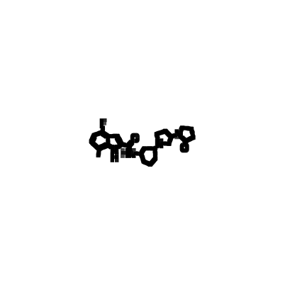 Cc1ccc(F)c2cc(C(=O)N[C@@H]3CCC[C@@H](N4CCC(N5CCCC5=O)C4)C3)[nH]c12